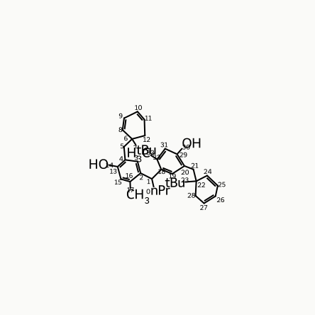 CCCC(c1cc(CC2(C(C)(C)C)C=CC=CC2)c(O)cc1C)c1cc(CC2(C(C)(C)C)C=CC=CC2)c(O)cc1C